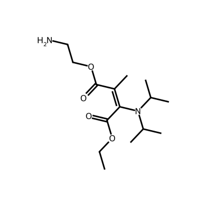 CCOC(=O)C(=C(C)C(=O)OCCN)N(C(C)C)C(C)C